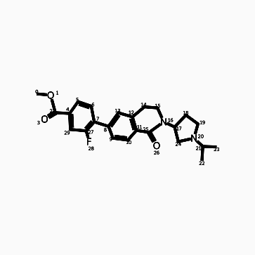 COC(=O)c1ccc(-c2ccc3c(c2)CCN(C2CCN(C(C)C)C2)C3=O)c(F)c1